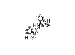 CCN(CCCNc1nc(=S)[nH]c2ccccc12)c1ccccc1